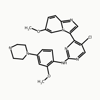 COc1ccc2ncc(-c3nc(Nc4ccc(N5CC[N]CC5)cc4OC)ncc3Cl)n2c1